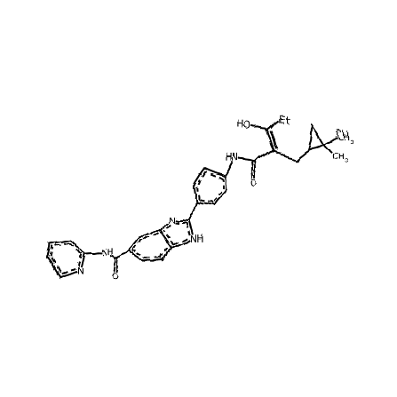 CCC(O)=C(CC1CC1(C)C)C(=O)Nc1ccc(-c2nc3cc(C(=O)Nc4ccccn4)ccc3[nH]2)cc1